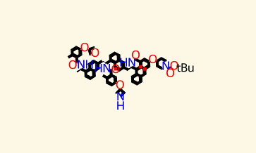 Cc1ccc(OC2COC2)cc1C(=O)N[C@H](C)c1cccc2cc(C[C@@H](NC(=O)c3cc(OC4CNC4)ccc3C)c3cccc4cc(C[C@@H](NC(=O)c5cc(OC6CCN(C(=O)OC(C)(C)C)CC6)ccc5C)c5cccc6ccccc56)ccc34)ccc12